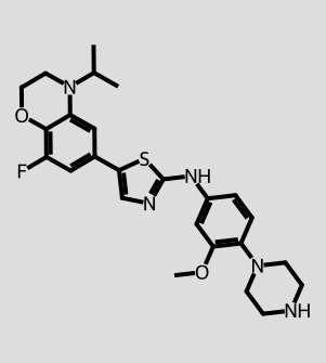 COc1cc(Nc2ncc(-c3cc(F)c4c(c3)N(C(C)C)CCO4)s2)ccc1N1CCNCC1